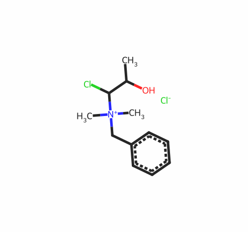 CC(O)C(Cl)[N+](C)(C)Cc1ccccc1.[Cl-]